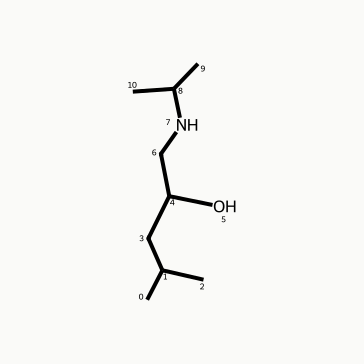 CC(C)CC(O)CNC(C)C